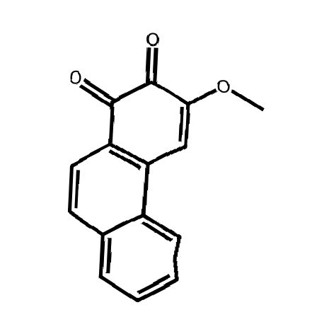 COC1=Cc2c(ccc3ccccc23)C(=O)C1=O